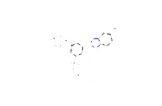 CC(C)(C)CC(C)(C)c1cc(-n2nc3ccc(C(F)(F)F)cc3n2)c(O)c(C(C)(C)CC(C)(C)C)c1